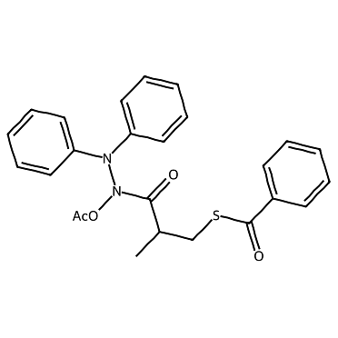 CC(=O)ON(C(=O)C(C)CSC(=O)c1ccccc1)N(c1ccccc1)c1ccccc1